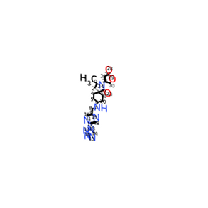 C[C@@H]1C[C@]2(CC[C@@H](NCc3cnc(-n4cnnn4)cn3)CC2)C(=O)N1C1=CC(=O)OC1